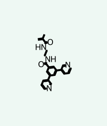 C=C(C)C(=O)NCCNC(=O)c1cc(-c2cccnc2)cc(-c2cccnc2)c1